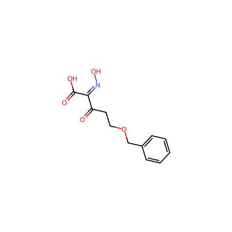 O=C(O)C(=NO)C(=O)CCOCc1ccccc1